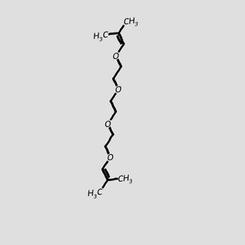 CC(C)=COCCOCCOCCOC=C(C)C